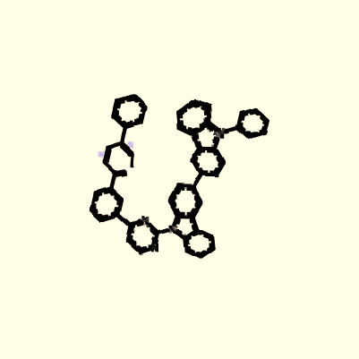 C=C(/C=C\C(=C/C)c1ccccc1)c1cccc(-c2ccnc(-n3c4ccccc4c4cc(-c5ccc6c(c5)c5ccccc5n6-c5ccccc5)ccc43)n2)c1